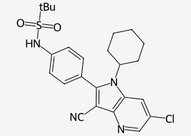 CC(C)(C)S(=O)(=O)Nc1ccc(-c2c(C#N)c3ncc(Cl)cc3n2C2CCCCC2)cc1